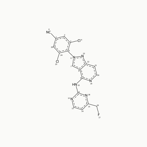 N#Cc1cc(Cl)c(-n2cc3c(Nc4nccc(CF)n4)nccc3n2)c(Cl)c1